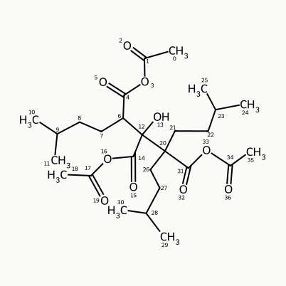 CC(=O)OC(=O)C(CCC(C)C)C(O)(C(=O)OC(C)=O)C(CCC(C)C)(CCC(C)C)C(=O)OC(C)=O